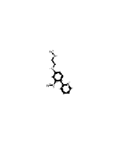 CCOCCOc1ccc(-c2ccc[c]n2)c(OC(C)C)c1